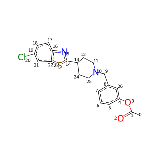 CC(=O)Oc1cccc(CN2CCC(c3nc4ccc(Cl)cc4s3)CC2)c1